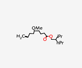 C=CCCC(CCCC(=O)OCC(CCC)C(C)C)OC